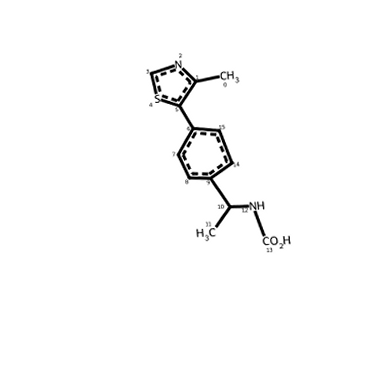 Cc1ncsc1-c1ccc(C(C)NC(=O)O)cc1